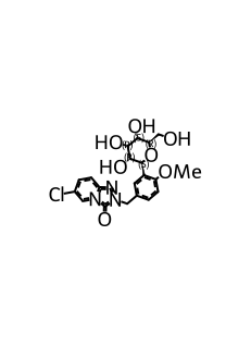 COc1ccc(Cn2nc3ccc(Cl)cn3c2=O)cc1[C@@H]1O[C@H](CO)[C@@H](O)[C@H](O)[C@H]1O